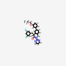 CC1(Cc2cc(F)cc(F)c2)C(=O)N(c2ncccn2)Cc2ccc(-c3cccc(OCC(F)(F)F)c3)cc21